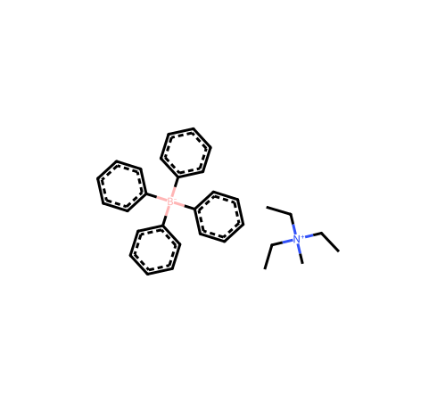 CC[N+](C)(CC)CC.c1ccc([B-](c2ccccc2)(c2ccccc2)c2ccccc2)cc1